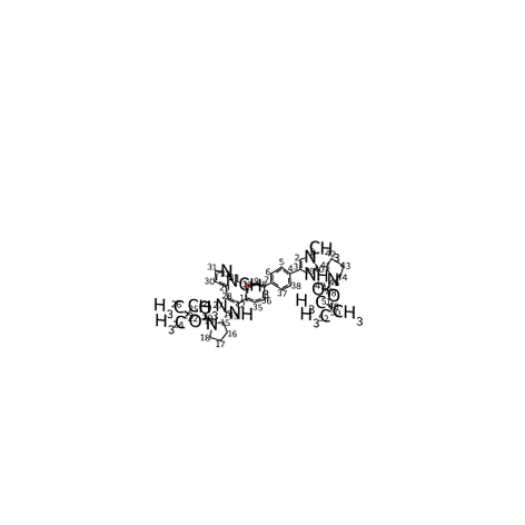 CN1C=C(c2ccc(-c3ccc(-c4[nH]c([C@@H]5CCCN5C(=O)OC(C)(C)C)nc4-c4ccnn4C)cc3)cc2)NC1[C@@H]1CCCN1C(=O)OC(C)(C)C